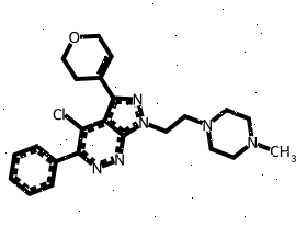 CN1CCN(CCn2nc(C3=CCOCC3)c3c(Cl)c(-c4ccccc4)nnc32)CC1